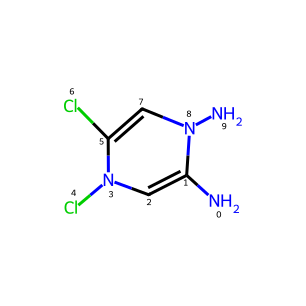 NC1=CN(Cl)C(Cl)=CN1N